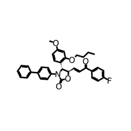 CCCCOc1cc(OC)ccc1[C@@H]1[C@@H](/C=C/C(=O)c2ccc(F)cc2)OC(=O)N1c1ccc(-c2ccccc2)cc1